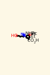 CCC(CC)OC1CC(C(=O)O)=CC(n2cc(CCCO)nn2)C1NC(C)=O